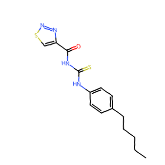 CCCCCc1ccc(NC(=S)NC(=O)c2csnn2)cc1